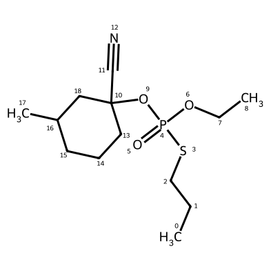 CCCSP(=O)(OCC)OC1(C#N)CCCC(C)C1